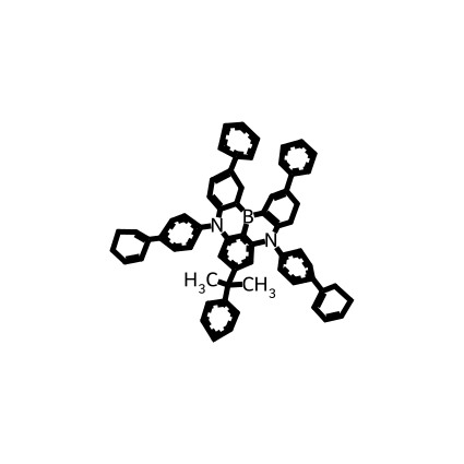 CC(C)(c1ccccc1)c1cc2c3c(c1)N(c1ccc(C4=CC=CCC4)cc1)C1=C(C=C(c4ccccc4)CC1)B3C1CC(c3ccccc3)=CC=C1N2c1ccc(C2=CCCC=C2)cc1